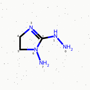 NNC1=NCCN1N